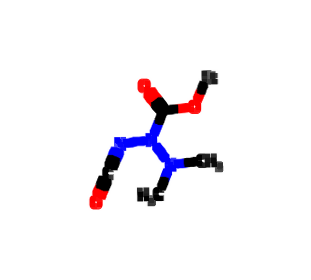 CCOC(=O)N(N=C=O)N(C)C